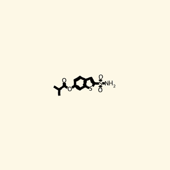 CC(C)C(=O)Oc1ccc2cc(S(N)(=O)=O)sc2c1